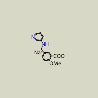 COc1ccc(CNc2cccnc2)cc1C(=O)[O-].[Na+]